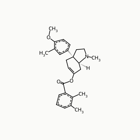 COc1ccc([C@@]23CC=C(OC(=O)c4cccc(C)c4C)C[C@@H]2N(C)CC3)cc1C